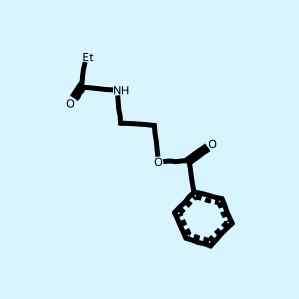 CCC(=O)NCCOC(=O)c1ccccc1